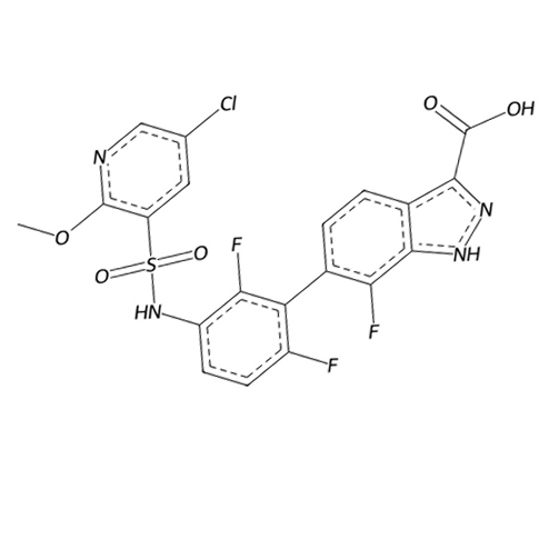 COc1ncc(Cl)cc1S(=O)(=O)Nc1ccc(F)c(-c2ccc3c(C(=O)O)n[nH]c3c2F)c1F